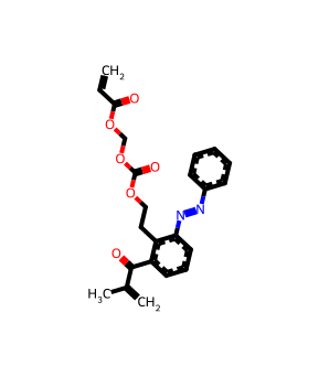 C=CC(=O)OCOC(=O)OCCc1c(N=Nc2ccccc2)cccc1C(=O)C(=C)C